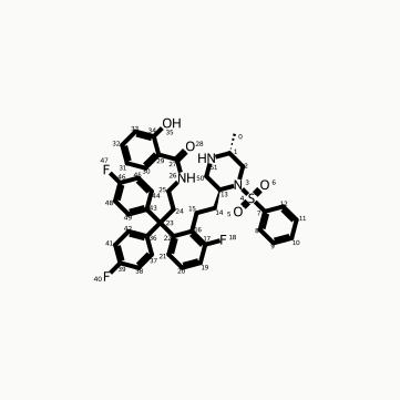 C[C@@H]1CN(S(=O)(=O)c2ccccc2)[C@@H](CCc2c(F)cccc2C(CCNC(=O)c2ccccc2O)(c2ccc(F)cc2)c2ccc(F)cc2)CN1